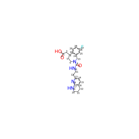 O=C(O)CC1CCN(C(=O)NCCc2ccc3c(n2)NCCC3)Cc2cc(F)ccc21